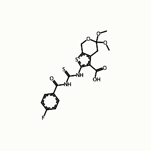 COC1(OC)Cc2c(sc(NC(=S)NC(=O)c3ccc(F)cc3)c2C(=O)O)CO1